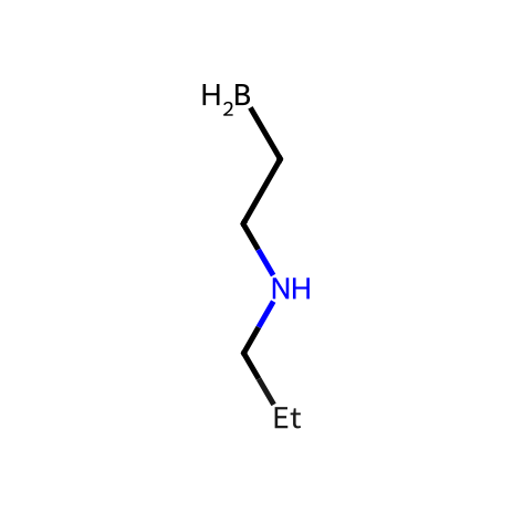 BCCNCCC